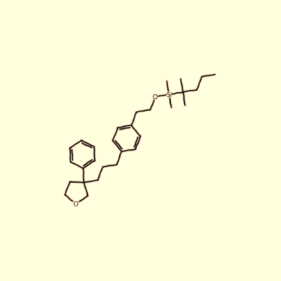 CCCC(C)(C)[Si](C)(C)OCCc1ccc(CCCC2(c3ccccc3)CCOC2)cc1